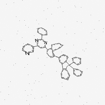 c1ccc(-c2nc(-c3cccnc3)cc(-c3ccc(-c4ccc5c(c4)-c4ccccc4C5(c4ccccc4)c4ccccc4)c4ccccc34)n2)cc1